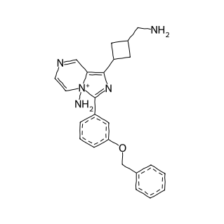 NCC1CC(C2=C3C=NC=C[N+]3(N)C(c3cccc(OCc4ccccc4)c3)=N2)C1